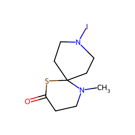 CN1CCC(=O)SC12CCN(I)CC2